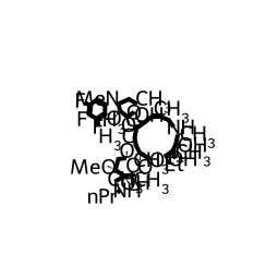 CCCNC[C@]1(O)[C@H](C)O[C@@H](O[C@H]2[C@H](C)[C@@H](O[C@@H]3O[C@H](C)C[C@H](NC)[C@H]3Oc3ccc(F)c(F)c3F)[C@](C)(O)C[C@@H](C)CN[C@H](C)[C@@H](O)[C@](C)(O)[C@@H](CC)OC(=O)[C@@H]2C)C[C@@]1(C)OC